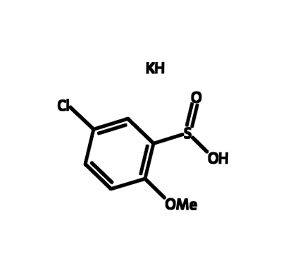 COc1ccc(Cl)cc1S(=O)O.[KH]